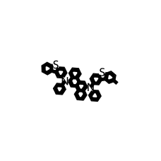 Cc1ccc2sc3ccc(N(c4ccccc4)c4cc5c6ccccc6c(N(c6ccccc6)c6ccc7sc8ccccc8c7c6)cc5c5ccccc45)cc3c2c1